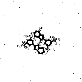 C[Si](C)(C)c1cc(C2=Cc3ccccc3[CH]2[Zr+2][CH]2C(c3cc([Si](C)(C)C)cc([Si](C)(C)C)c3)=Cc3ccccc32)cc([Si](C)(C)C)c1.[Cl-].[Cl-]